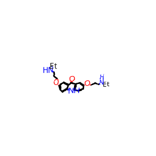 CCNCCCOc1ccc2[nH]c3ccc(OCCCNCC)cc3c(=O)c2c1